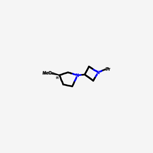 CO[C@@H]1CCN(C2CN(C(C)C)C2)C1